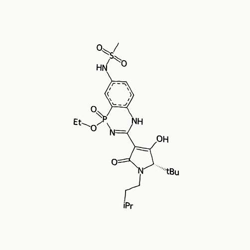 CCOP1(=O)N=C(C2=C(O)[C@H](C(C)(C)C)N(CCC(C)C)C2=O)Nc2ccc(NS(C)(=O)=O)cc21